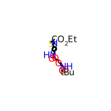 CCOC(=O)c1csc(-c2ccc(CNC(=O)OCCOCCNC(=O)OC(C)(C)C)cc2)n1